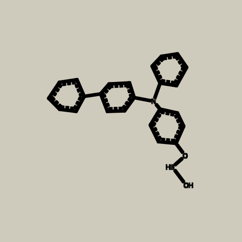 OBOc1ccc(N(c2ccccc2)c2ccc(-c3ccccc3)cc2)cc1